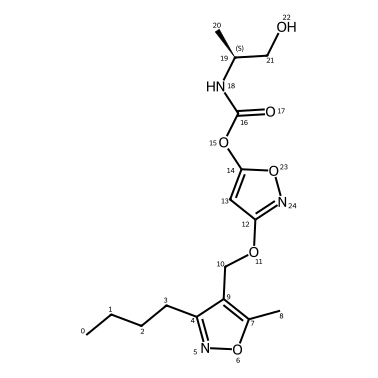 CCCCc1noc(C)c1COc1cc(OC(=O)N[C@@H](C)CO)on1